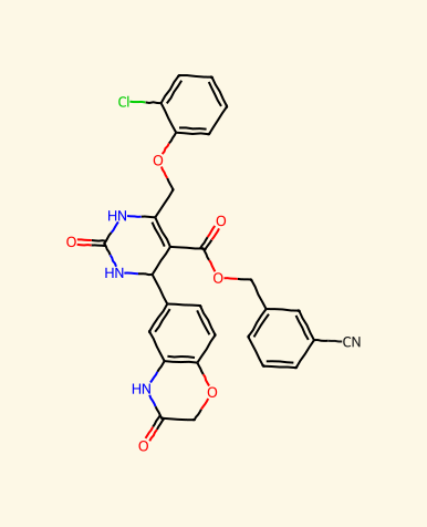 N#Cc1cccc(COC(=O)C2=C(COc3ccccc3Cl)NC(=O)NC2c2ccc3c(c2)NC(=O)CO3)c1